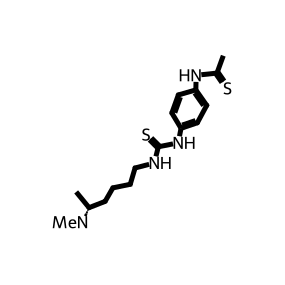 CN[C@H](C)CCCCNC(=S)Nc1ccc(NC(C)=S)cc1